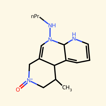 CCCNN1C=C2C[N+](=O)CC(C)C2C2=CC=CNC21